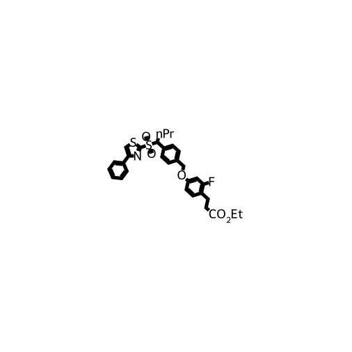 CCCC(c1ccc(COc2ccc(CCC(=O)OCC)c(F)c2)cc1)S(=O)(=O)c1nc(-c2ccccc2)cs1